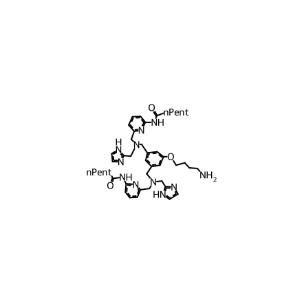 CCCCCC(=O)Nc1cccc(CN(Cc2cc(CN(Cc3cccc(NC(=O)CCCCC)n3)Cc3ncc[nH]3)cc(OCCCCN)c2)Cc2ncc[nH]2)n1